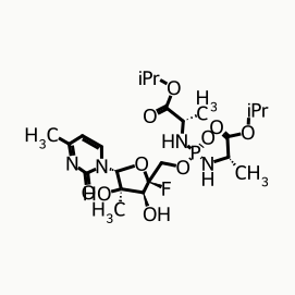 Cc1ccn([C@@H]2O[C@](F)(COP(=O)(N[C@@H](C)C(=O)OC(C)C)N[C@@H](C)C(=O)OC(C)C)[C@@H](O)[C@@]2(C)O)c(=O)n1